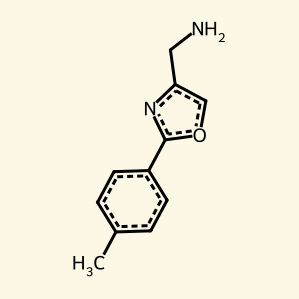 Cc1ccc(-c2nc(CN)co2)cc1